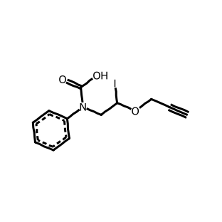 C#CCOC(I)CN(C(=O)O)c1ccccc1